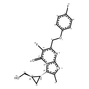 Cc1sc2nc(COc3ccc(F)cc3)c(F)c(=O)n2c1[C@@H]1C[C@H]1CO